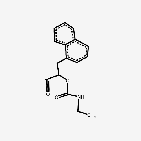 CCNC(=O)OC([C]=O)Cc1cccc2ccccc12